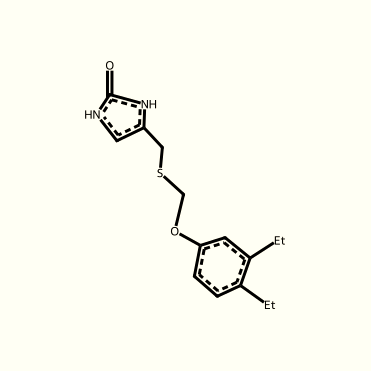 CCc1ccc(OCSCc2c[nH]c(=O)[nH]2)cc1CC